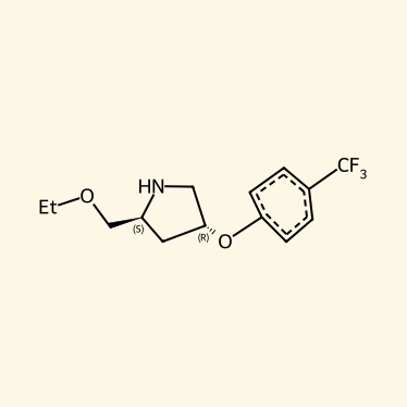 CCOC[C@@H]1C[C@@H](Oc2ccc(C(F)(F)F)cc2)CN1